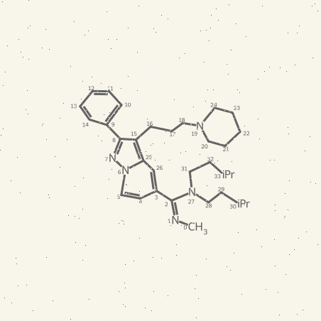 CN=C(c1ccn2nc(-c3ccccc3)c(CCCN3CCCCC3)c2c1)N(CCC(C)C)CCC(C)C